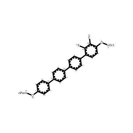 CCCCCCCCOc1ccc(-c2ccc(-c3ccc(-c4ccc(OCCCCC)cc4)cc3)cc2)c(F)c1F